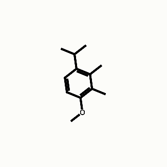 COc1ccc(C(C)C)c(C)c1C